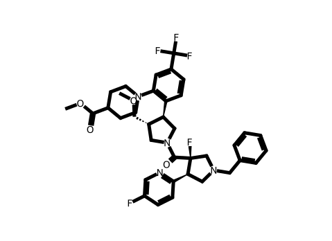 COC[C@H]1CN(C(=O)[C@]2(F)CN(Cc3ccccc3)C[C@H]2c2ccc(F)cn2)C[C@@H]1c1ccc(C(F)(F)F)cc1N1CCC(C(=O)OC)CC1